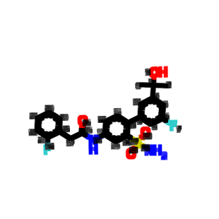 CC(C)(O)c1cc(F)cc(-c2ccc(NC(=O)Cc3ccccc3F)cc2S(N)(=O)=O)c1